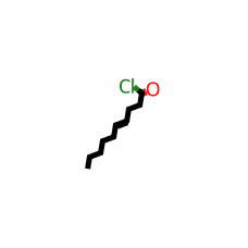 CCCCCC=CCCC(=O)Cl